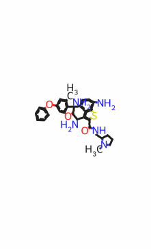 Cc1cc(Oc2ccccc2)ccc1C1(N)C(=O)C(N)c2c(C(=O)NCC3CCCN3C)sc3c(N)ccc1c23